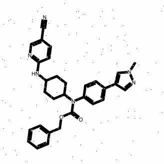 Cn1cc(-c2ccc(N(C(=O)OCc3ccccc3)C3CCC(Nc4ccc(C#N)cn4)CC3)cc2)cn1